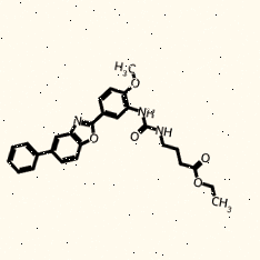 CCOC(=O)CCCNC(=O)Nc1cc(-c2nc3cc(-c4ccccc4)ccc3o2)ccc1OC